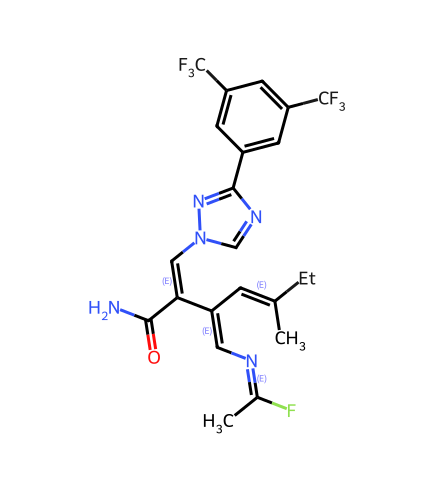 CC/C(C)=C/C(=C\N=C(/C)F)C(=C\n1cnc(-c2cc(C(F)(F)F)cc(C(F)(F)F)c2)n1)/C(N)=O